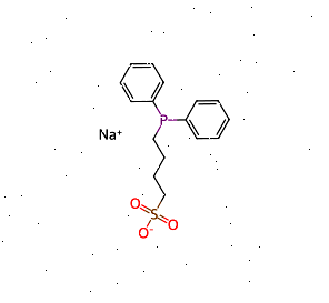 O=S(=O)([O-])CCCCP(c1ccccc1)c1ccccc1.[Na+]